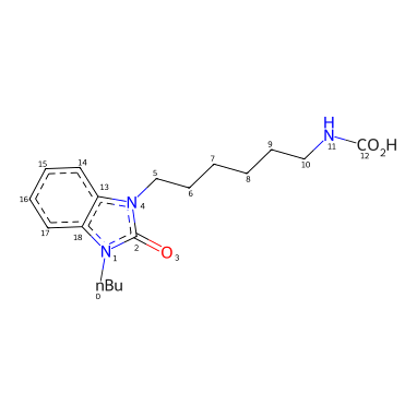 CCCCn1c(=O)n(CCCCCCNC(=O)O)c2ccccc21